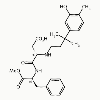 COC(=O)[C@H](Cc1ccccc1)NC(=O)[C@H](CC(=O)O)NCCC(C)(C)c1ccc(C)c(O)c1